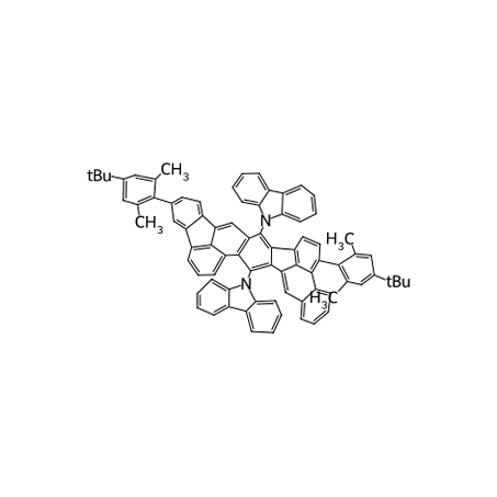 Cc1cc(C(C)(C)C)cc(C)c1-c1ccc2c(c1)c1cccc3c4c(-n5c6ccccc6c6ccccc65)c5c6cc7ccccc7c7c(-c8c(C)cc(C(C)(C)C)cc8C)ccc(c5c(-n5c8ccccc8c8ccccc85)c4cc2c13)c67